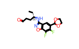 CC[C@@H](CC[C]=O)Nc1noc2c(F)c(F)c(C3OCCO3)cc12